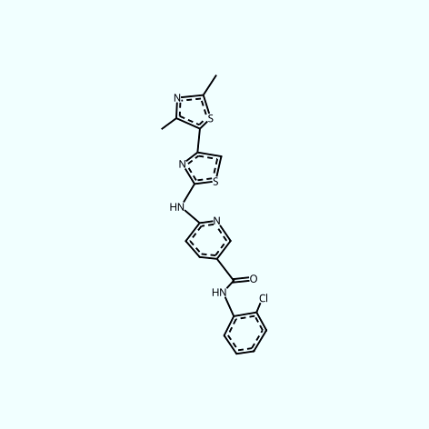 Cc1nc(C)c(-c2csc(Nc3ccc(C(=O)Nc4ccccc4Cl)cn3)n2)s1